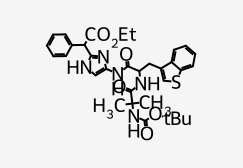 CCOC(=O)C(c1ccccc1)c1nc(NC(=O)C(Cc2csc3ccccc23)NC(=O)C(C)(C)NC(=O)OC(C)(C)C)c[nH]1